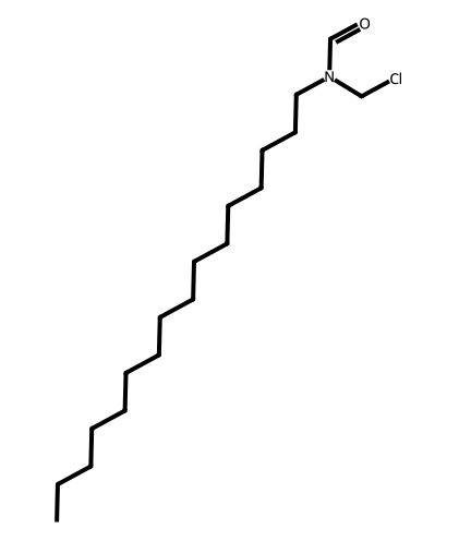 CCCCCCCCCCCCCCCCN(C=O)CCl